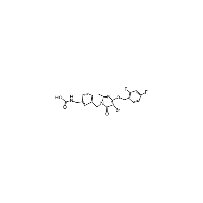 Cc1nc(OCc2ccc(F)cc2F)c(Br)c(=O)n1Cc1cccc(CNC(=O)O)c1